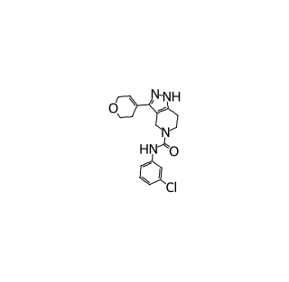 O=C(Nc1cccc(Cl)c1)N1CCc2[nH]nc(C3=CCOCC3)c2C1